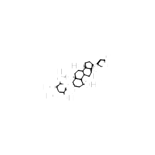 CC1O[C@H](O[C@H]2CC[C@]3(CO)C4CC[C@]5(C)[C@@H](C6=CC(=O)OC6)CC[C@]5(O)C4CC[C@]3(O)C2)C(O)C(O)[C@@H]1O